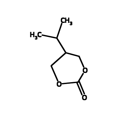 CC(C)C1COC(=O)OC1